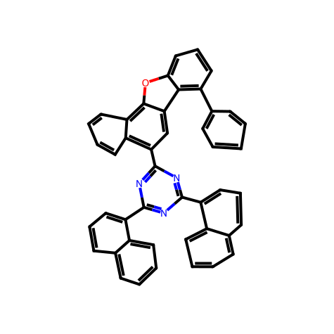 c1ccc(-c2cccc3oc4c5ccccc5c(-c5nc(-c6cccc7ccccc67)nc(-c6cccc7ccccc67)n5)cc4c23)cc1